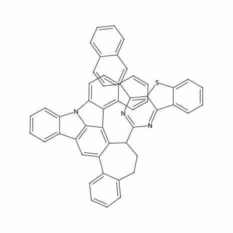 c1ccc2c(c1)CCC(c1nc(-c3ccc4ccccc4c3)c3sc4ccccc4c3n1)c1c-2cc2c3ccccc3n3c4ccc5ccccc5c4c1c23